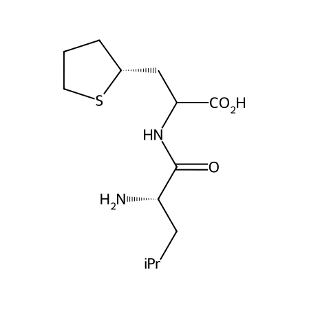 CC(C)C[C@H](N)C(=O)NC(C[C@H]1CCCS1)C(=O)O